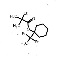 CCC(C)(C)C(=O)OC1(C(C)(CC)CC)CCCCC1